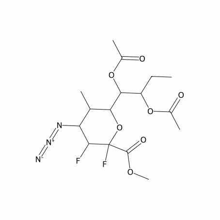 CCC(OC(C)=O)C(OC(C)=O)C1OC(F)(C(=O)OC)C(F)C(N=[N+]=[N-])C1C